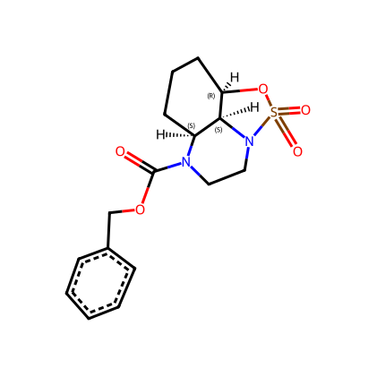 O=C(OCc1ccccc1)N1CCN2[C@@H]3[C@@H](CCC[C@@H]31)OS2(=O)=O